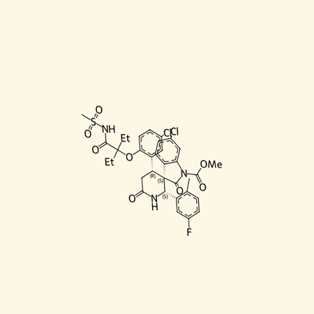 CCC(CC)(Oc1ccc(Cl)cc1[C@H]1CC(=O)N[C@@H](c2cc(F)ccc2C)[C@]12C(=O)N(C(=O)OC)c1cc(Cl)ccc12)C(=O)NS(C)(=O)=O